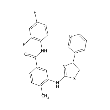 Cc1ccc(C(=O)Nc2ccc(F)cc2F)cc1NC1=NC(c2cccnc2)CS1